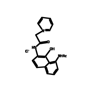 CC(=O)Nc1cccc2ccc(NC(=O)C[n+]3ccccc3)c(O)c12.[Cl-]